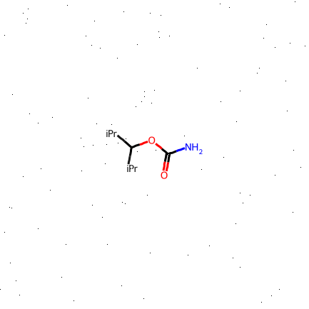 CC(C)C(OC(N)=O)C(C)C